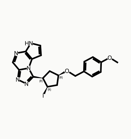 COc1ccc(CO[C@H]2C[C@@H](I)[C@@H](c3nnc4cnc5[nH]ccc5n34)C2)cc1